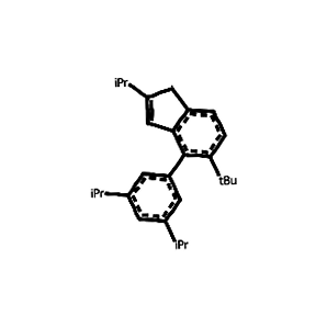 CC(C)C1=Cc2c(ccc(C(C)(C)C)c2-c2cc(C(C)C)cc(C(C)C)c2)[CH]1